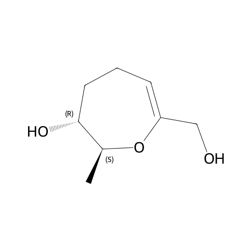 C[C@@H]1OC(CO)=CCC[C@H]1O